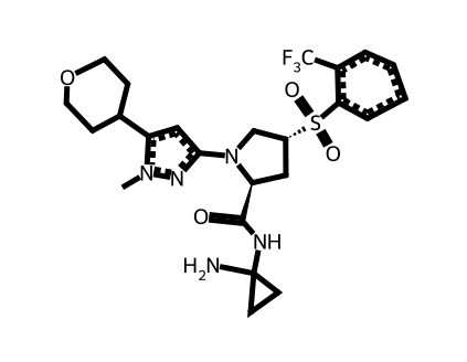 Cn1nc(N2C[C@H](S(=O)(=O)c3ccccc3C(F)(F)F)C[C@H]2C(=O)NC2(N)CC2)cc1C1CCOCC1